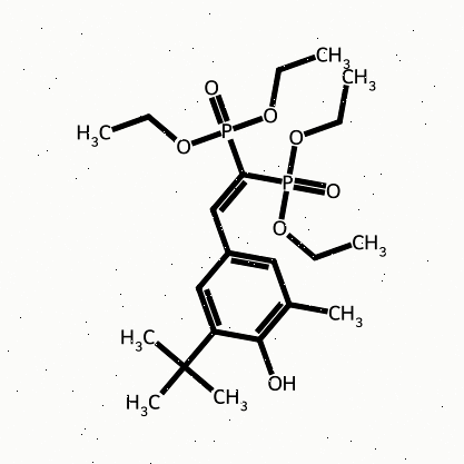 CCOP(=O)(OCC)C(=Cc1cc(C)c(O)c(C(C)(C)C)c1)P(=O)(OCC)OCC